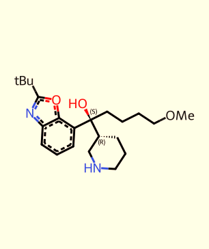 COCCCC[C@@](O)(c1cccc2nc(C(C)(C)C)oc12)[C@@H]1CCCNC1